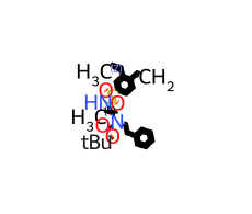 C=Cc1ccc(S(=O)(=O)N[C@H](C)CN(CCc2ccccc2)C(=O)OC(C)(C)C)cc1/C=C\C